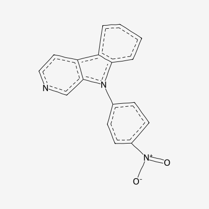 O=[N+]([O-])c1ccc(-n2c3ccccc3c3ccncc32)cc1